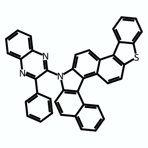 c1ccc(-c2nc3ccccc3nc2-n2c3ccc4ccccc4c3c3c4ccc5sc6ccccc6c5c4ccc32)cc1